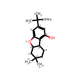 CCCCCCC(C)(C)c1cc(O)c2c(c1)OC1CC(C)(C)CCC21